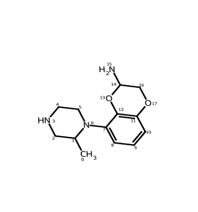 CC1CNCCN1c1cccc2c1OC(N)CO2